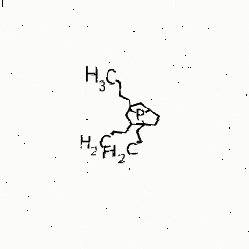 C=CCC1CCCC2CCC1(CC=C)P2CCCCC